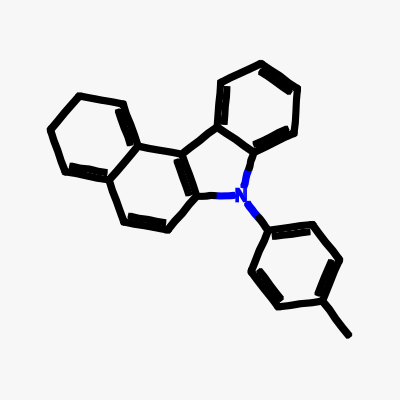 Cc1ccc(-n2c3ccccc3c3c4c(ccc32)=CCCC=4)cc1